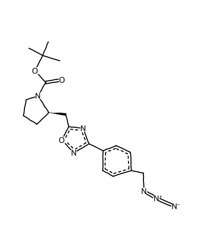 CC(C)(C)OC(=O)N1CCC[C@@H]1Cc1nc(-c2ccc(CN=[N+]=[N-])cc2)no1